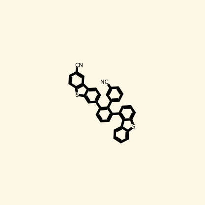 N#Cc1cccc(-c2c(-c3ccc4c(c3)sc3ccc(C#N)cc34)cccc2-c2cccc3sc4ccccc4c23)c1